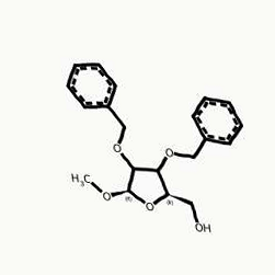 CO[C@@H]1O[C@H](CO)C(OCc2ccccc2)C1OCc1ccccc1